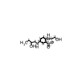 CCC(O)CNc1ccc(NCCO)c([N+](=O)[O-])c1